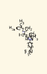 C=C/C(=C\C=C(C)C)C(O)CN/C(=C/C(=N\C)c1ccc(OC(F)(F)F)cc1)N=C